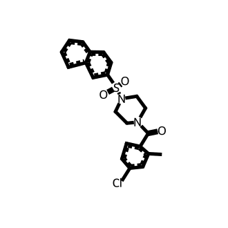 Cc1cc(Cl)ccc1C(=O)N1CCN(S(=O)(=O)c2ccc3ccccc3c2)CC1